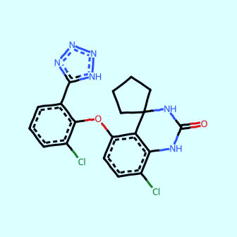 O=C1Nc2c(Cl)ccc(Oc3c(Cl)cccc3-c3nnn[nH]3)c2C2(CCCC2)N1